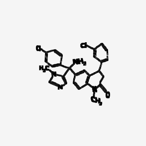 CN1C(=O)CC(c2cccc(Cl)c2)c2cc(C(N)(c3ccc(Cl)cc3)c3cncn3C)ccc21